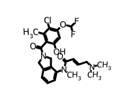 Cc1c(Cl)c(OC(F)F)cc(O)c1C(=O)N1Cc2cccc(N(C)C(=O)/C=C/CN(C)C)c2C1